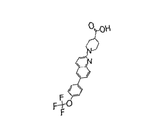 O=C(O)C1CCN(c2ccc3cc(-c4ccc(OC(F)(F)F)cc4)ccc3n2)CC1